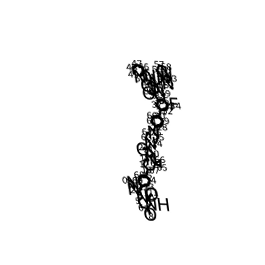 Cn1nc(N2CCC(=O)NC2=O)c2ccc(C3CCN(CC(=O)N4CCN(c5ccc(-c6cc(F)c7c(c6)C(=O)N(C(C(=O)Nc6ccccn6)c6ncn8c6CCC8)C7)cc5)CC4)C4(CC4)C3)cc21